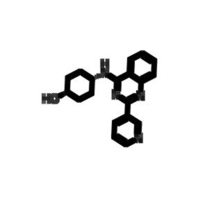 O[C@H]1CC[C@H](Nc2nc(-c3cccnc3)nc3ccccc23)CC1